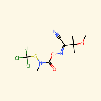 COC(C)(C)C(C#N)=NOC(=O)N(C)SC(Cl)(Cl)Cl